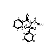 CC(C)(C)NN(C(=O)c1ccccn1)S(=O)(=O)c1ccccc1